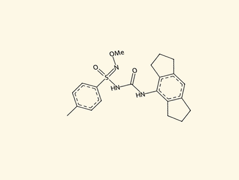 CON=S(=O)(NC(=O)Nc1c2c(cc3c1CCC3)CCC2)c1ccc(C)cc1